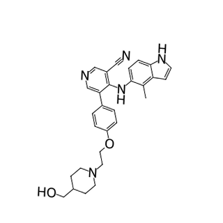 Cc1c(Nc2c(C#N)cncc2-c2ccc(OCCN3CCC(CO)CC3)cc2)ccc2[nH]ccc12